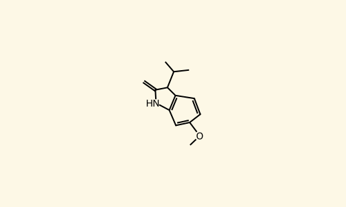 C=C1Nc2cc(OC)ccc2C1C(C)C